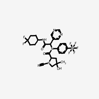 CC1(O)CC(C(=O)N(c2ccc(S(F)(F)(F)(F)F)cc2)C(C(=O)NC2CCC(F)(F)CC2)c2cncnc2)N(C#N)C1